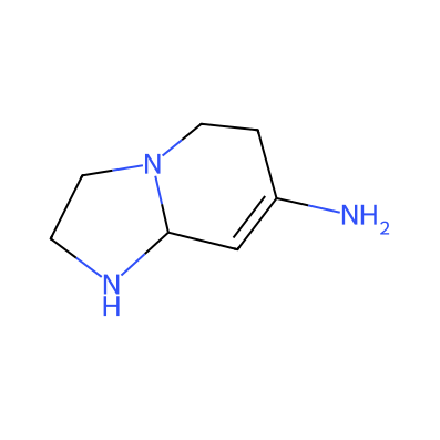 NC1=CC2NCCN2CC1